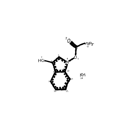 CCCC(=O)On1cc(O)c2ccccc21.[KH]